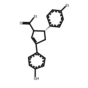 CCC(=O)C1C=C(c2ccc(O)cc2)C[C@H]1c1ccc(CC)cc1